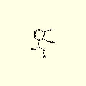 CCCOC(c1cccc(Br)c1OC)C(C)(C)C